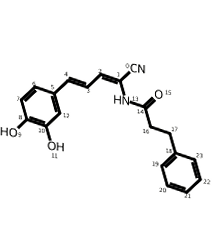 N#CC(=CC=Cc1ccc(O)c(O)c1)NC(=O)CCc1ccccc1